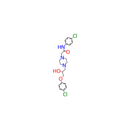 O=C(CN1CCN(CC(O)COc2ccc(Cl)cc2)CC1)Nc1ccc(Cl)cc1